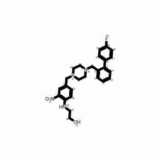 O=[N+]([O-])c1cc(CN2CCN(Cc3ccccc3-c3ccc(F)cc3)CC2)ccc1NCCO